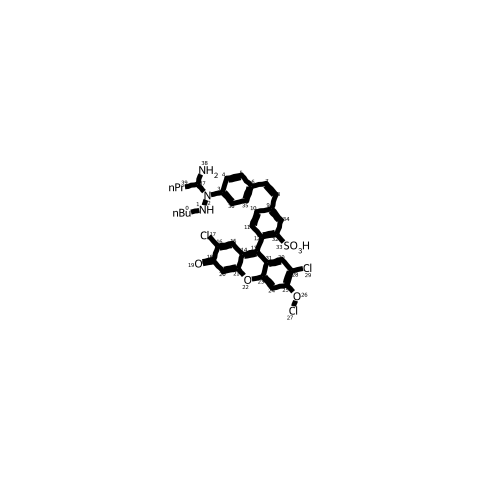 CCCCNN(c1ccc(/C=C\c2ccc(-c3c4cc(Cl)c(=O)cc-4oc4cc(OCl)c(Cl)cc34)c(S(=O)(=O)O)c2)cc1)C(N)CCC